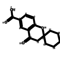 O=C(O)c1ccc2c(c1)C(=O)CC1(CCCCC1)O2